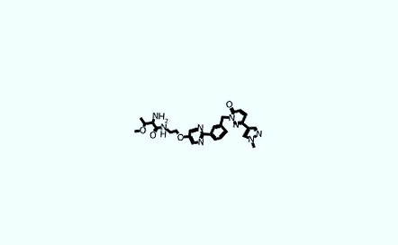 COC(C)C(N)C(=O)NCCOc1cnc(-c2cccc(Cn3nc(-c4cnn(C)c4)ccc3=O)c2)nc1